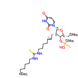 CCCCCCCCCCCCCCCNC(=S)NCCCC/C=C/C[C@H]1C(OP(O)(=S)OC)[C@@H](COC)O[C@H]1n1ccc(=O)[nH]c1=O